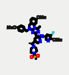 COc1ccc(CN(Cc2ccc(OC)cc2)c2nc(C)nc(-c3cc([C@@H](C)N4CCN(S(C)(=O)=O)CC4)cnc3Nc3cnc(OC)c(F)c3)n2)cc1